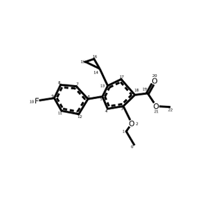 CCOc1cc(-c2ccc(F)cc2)c(C2CC2)cc1C(=O)OC